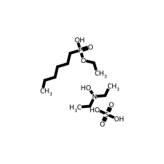 CCCCCCP(=O)(O)OCC.CCN(O)CC.O=S(=O)(O)O